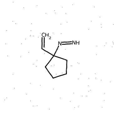 C=CC1(N=N)CCCC1